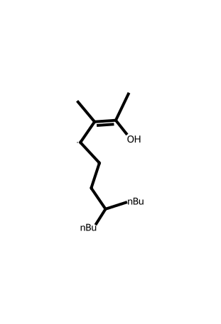 CCCCC(CC[CH]C(C)=C(C)O)CCCC